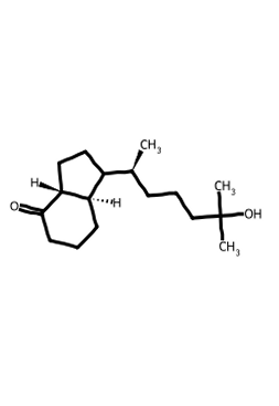 C[C@@H](CCCC(C)(C)O)C1CC[C@H]2C(=O)CCC[C@H]12